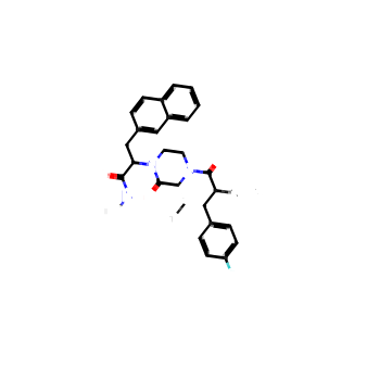 CC(=O)NC(Cc1ccc(F)cc1)C(=O)N1CCN(C(Cc2ccc3ccccc3c2)C(=O)NC(C)C)C(=O)[C@H]1CC(C)C